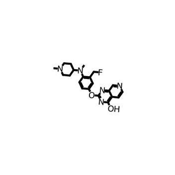 CN1CCC(N(C)c2ccc(Oc3nc(O)c4ccncc4n3)cc2CF)CC1